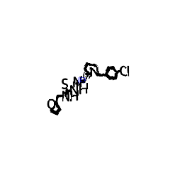 S=C(NCc1ccco1)N/N=C/[C@@H]1CCCN1Cc1ccc(Cl)cc1